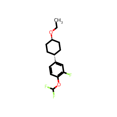 CCO[C@H]1CC[C@H](c2ccc(OC(F)F)c(F)c2)CC1